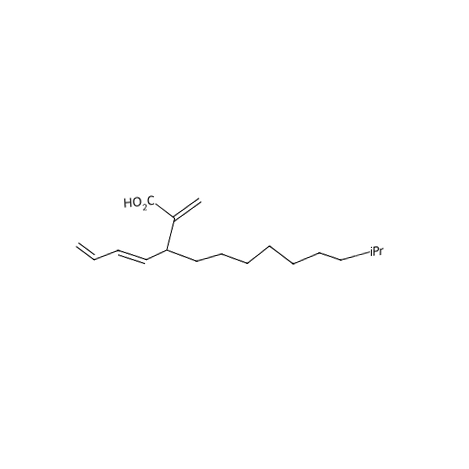 C=CC=CC(CCCCCCCC(C)C)C(=C)C(=O)O